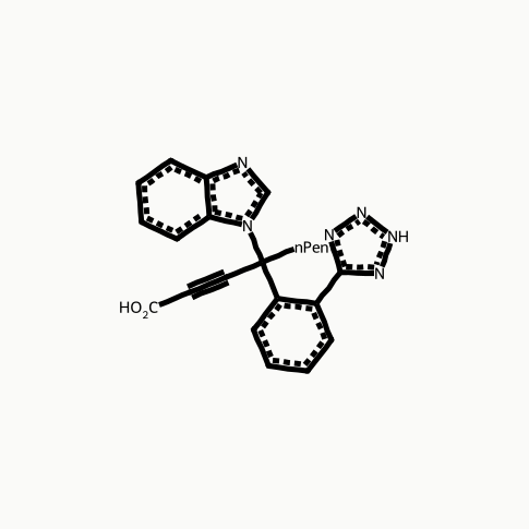 CCCCCC(C#CC(=O)O)(c1ccccc1-c1nn[nH]n1)n1cnc2ccccc21